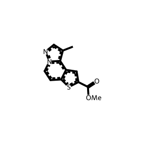 COC(=O)c1cc2c(ccn3ncc(C)c23)s1